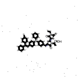 C=C(OO)n1c(=O)/c(=C/c2ccc(N(c3ccccc3)c3ccc(C=C(c4ccccc4)c4ccc(C)cc4)cc3)cc2)s/c1=C1/SC(=S)N(CC)C1=O